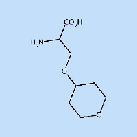 NC(COC1CCOCC1)C(=O)O